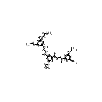 CCSc1nc(N)nc(NCCNc2nc(NCCNc3nc(NCCN)nc(SCC)n3)nc(SCC)n2)n1